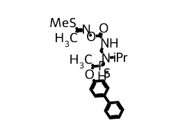 CSC(C)=NOC(=O)NCN(C(C)C)[PH](=S)C(C)Oc1ccc(-c2ccccc2)cc1